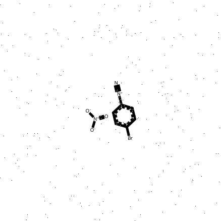 N#[N+]c1ccc(Br)cc1.O=[N+]([O-])[O-]